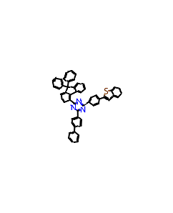 c1ccc(-c2ccc(-c3nc(-c4ccc(-c5cc6ccccc6s5)cc4)nc(-c4cccc5c4-c4ccccc4C5(c4ccccc4)c4ccccc4)n3)cc2)cc1